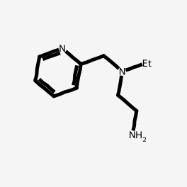 CCN(CCN)Cc1ccccn1